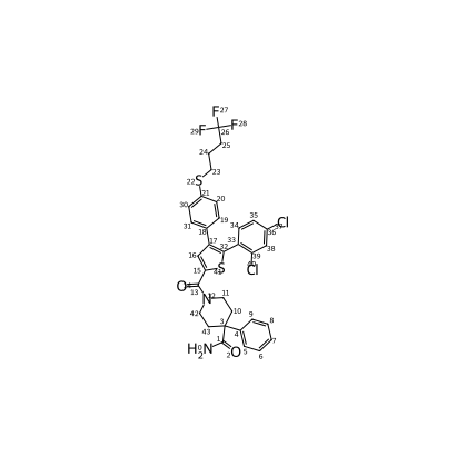 NC(=O)C1(c2ccccc2)CCN(C(=O)c2cc(-c3ccc(SCCCC(F)(F)F)cc3)c(-c3ccc(Cl)cc3Cl)s2)CC1